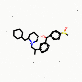 CC(CN1CCCCC1CC1CCCCC1)c1cccc(C(O)c2ccc([S+](C)[O-])cc2)c1